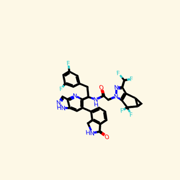 O=C(Cn1nc(C(F)F)c2c1C(F)(F)C1CC21)NC(Cc1cc(F)cc(F)c1)c1nc2cn[nH]c2cc1-c1cccc2c1CNC2=O